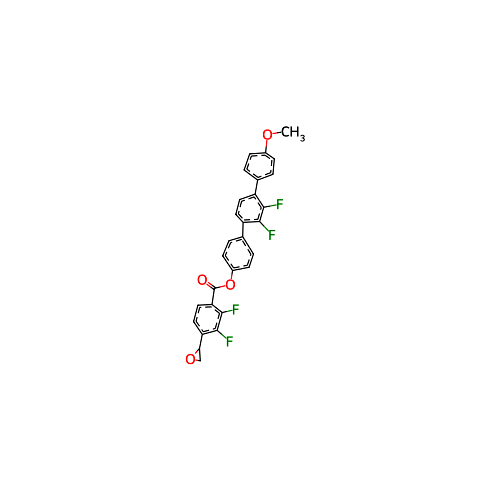 COc1ccc(-c2ccc(-c3ccc(OC(=O)c4ccc(C5CO5)c(F)c4F)cc3)c(F)c2F)cc1